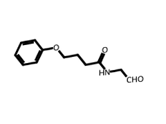 O=CCNC(=O)CCCOc1ccccc1